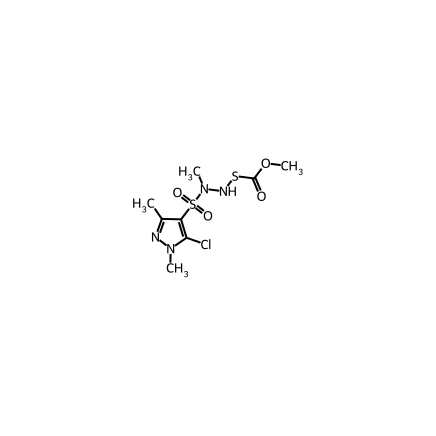 COC(=O)SNN(C)S(=O)(=O)c1c(C)nn(C)c1Cl